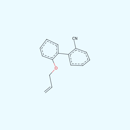 C=CCOc1ccccc1-c1ccccc1C#N